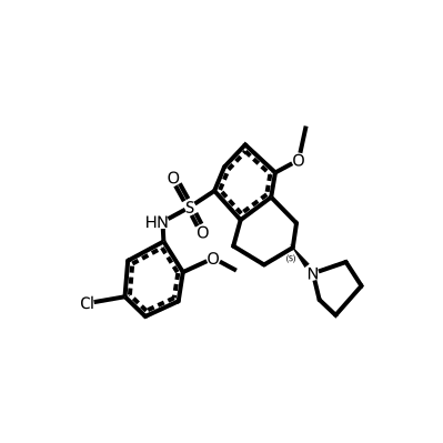 COc1ccc(Cl)cc1NS(=O)(=O)c1ccc(OC)c2c1CC[C@H](N1CCCC1)C2